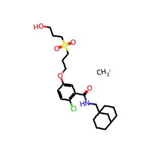 O=C(NCC12CCCC(CCC1)C2)c1cc(OCCCS(=O)(=O)CCCO)ccc1Cl.[CH2]